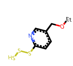 CCOCc1ccc(SSS)nc1